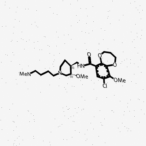 CNCCCCN1CC[C@@H](CNC(=O)c2cc(Cl)c(OC)c3c2OCCCO3)[C@H](OC)C1